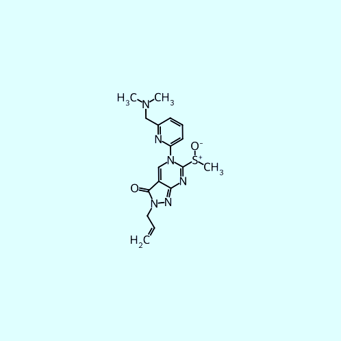 C=CCn1nc2nc([S+](C)[O-])n(-c3cccc(CN(C)C)n3)cc-2c1=O